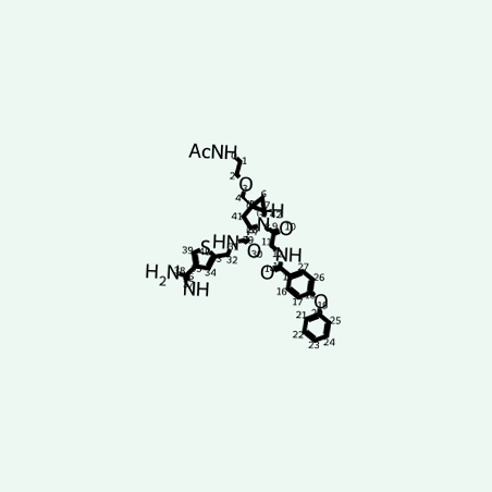 CC(=O)NCCOC[C@@]12C[C@@H]1N(C(=O)CNC(=O)c1ccc(Oc3ccccc3)cc1)[C@H](C(=O)NCc1cc(C(=N)N)cs1)C2